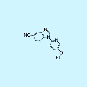 CCOc1ccc(-n2cnc3cc(C#N)ccc32)nc1